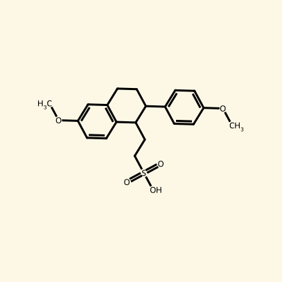 COc1ccc(C2CCc3cc(OC)ccc3C2CCS(=O)(=O)O)cc1